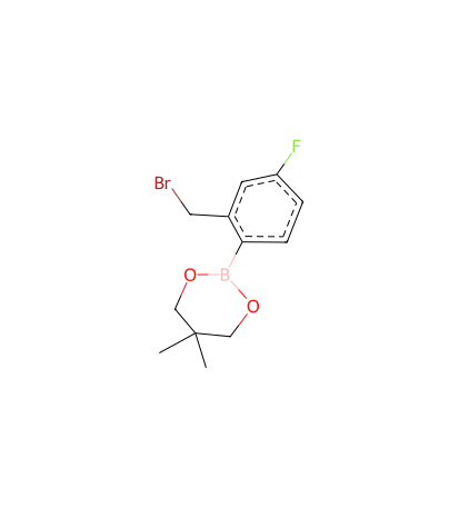 CC1(C)COB(c2ccc(F)cc2CBr)OC1